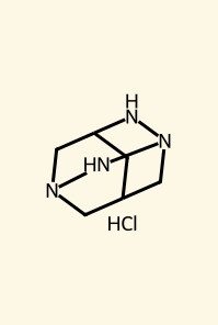 C1C2CN3CC1NN(C2)N3.Cl